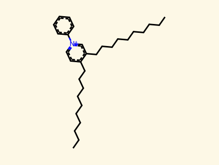 CCCCCCCCCCc1cc[n+](-c2ccccc2)cc1CCCCCCCCCC